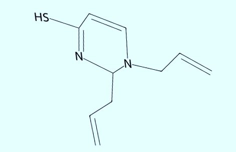 C=CCC1N=C(S)C=CN1CC=C